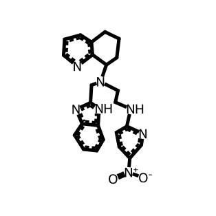 O=[N+]([O-])c1ccc(NCCN(Cc2nc3ccccc3[nH]2)C2CCCc3cccnc32)nc1